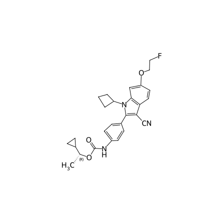 C[C@@H](OC(=O)Nc1ccc(-c2c(C#N)c3ccc(OCCF)cc3n2C2CCC2)cc1)C1CC1